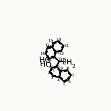 Oc1ccc2ccccc2c1C(P)c1c(O)ccc2ccccc12